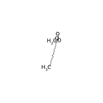 C=C(CCCCCCCCCCCCCCCCCC)C(=O)OCc1ccccc1